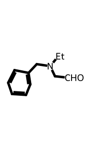 CCN(CC=O)Cc1ccccc1